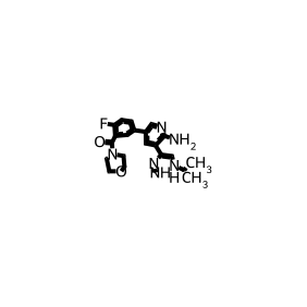 CC(C)N/C=C(\N=N)c1cc(-c2ccc(F)c(C(=O)N3CCOCC3)c2)cnc1N